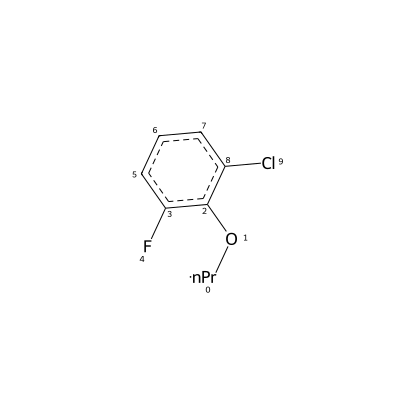 CC[CH]Oc1c(F)cccc1Cl